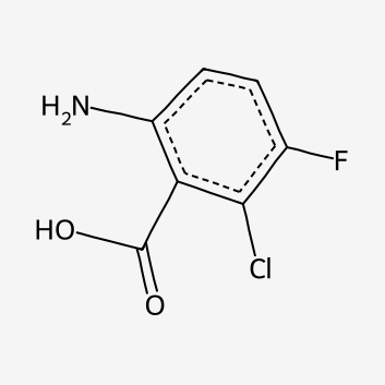 Nc1ccc(F)c(Cl)c1C(=O)O